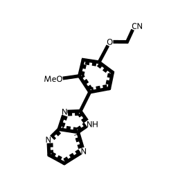 COc1cc(OCC#N)ccc1-c1nc2nccnc2[nH]1